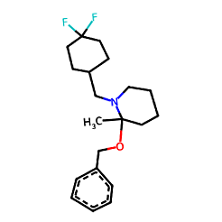 CC1(OCc2ccccc2)CCCCN1CC1CCC(F)(F)CC1